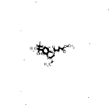 CC[C@H]1CN(C(=O)CCC(=O)OC)c2ccc(C(C)(O)C(F)(F)F)cc2S1